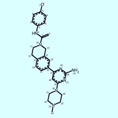 C=C(Nc1ccc(Cl)cc1)N1CCc2ccc(-c3cc(N4CCN(C)CC4)nc(N)n3)cc2C1